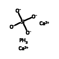 P.[Ca+2].[Ca+2].[O-][Si]([O-])([O-])[O-]